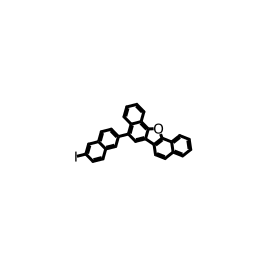 Ic1ccc2cc(-c3cc4c5ccc6ccccc6c5oc4c4ccccc34)ccc2c1